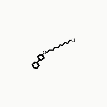 ClCCCCCCCCCCOc1ccc(-c2ccccc2)cc1